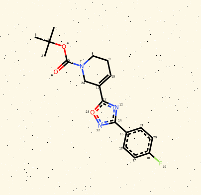 CC(C)(C)OC(=O)N1CCC=C(c2nc(-c3ccc(F)cc3)no2)C1